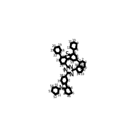 c1ccc(-c2cc(-c3ccccc3)c3sc4c(-c5ccccc5)ccc(-c5nc(-c6ccccc6)nc(-c6ccc7c(c6)c6ccccc6n7-c6ccccc6)n5)c4c3c2)cc1